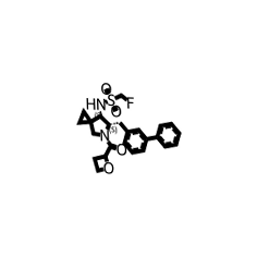 O=C(C1CCO1)N1CC2(CC2)[C@H](NS(=O)(=O)CF)[C@@H]1Cc1cccc(-c2ccccc2)c1